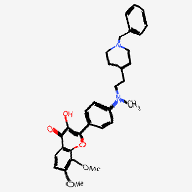 COc1ccc2c(=O)c(O)c(-c3ccc(N(C)CCC4CCN(Cc5ccccc5)CC4)cc3)oc2c1OC